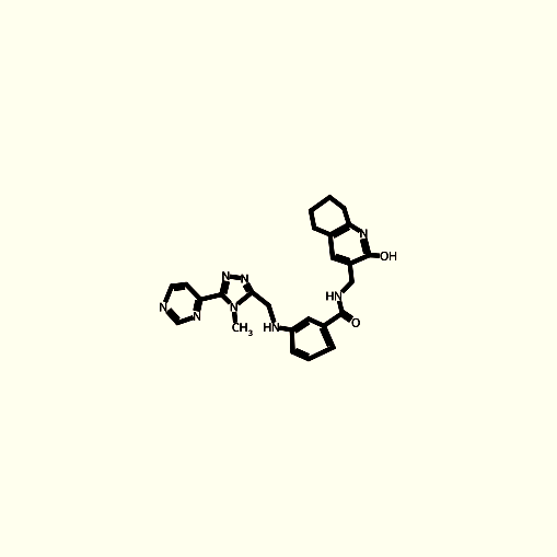 Cn1c(CNc2cccc(C(=O)NCc3cc4c(nc3O)CCCC4)c2)nnc1-c1ccncn1